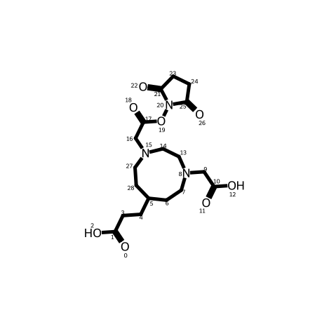 O=C(O)CCC1CCN(CC(=O)O)CCN(CC(=O)ON2C(=O)CCC2=O)CC1